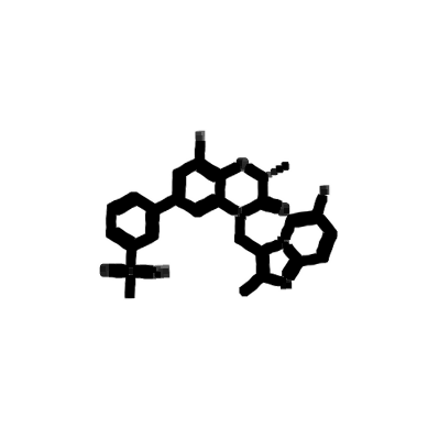 Cc1nc2ccc(F)cn2c1CN1C(=O)[C@@H](C)Oc2c(F)cc(-c3cccc(S(C)(=N)=O)c3)cc21